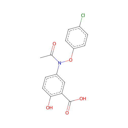 CC(=O)N(Oc1ccc(Cl)cc1)c1ccc(O)c(C(=O)O)c1